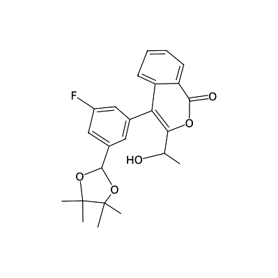 CC(O)c1oc(=O)c2ccccc2c1-c1cc(F)cc(C2OC(C)(C)C(C)(C)O2)c1